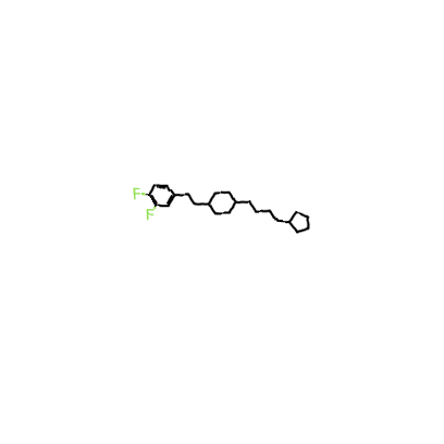 Fc1ccc(CCC2CCC(CCCCC3CCCC3)CC2)cc1F